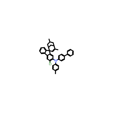 CC1=CC2(c3ccccc3-c3cc(Cl)c(N(c4ccc(C)cc4)c4ccc(-c5ccccc5)cc4)cc32)C2CC(C)CC1C2